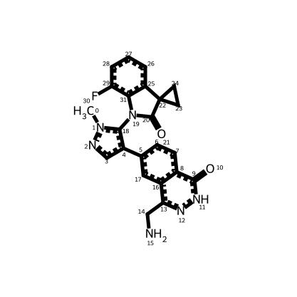 Cn1ncc(-c2ccc3c(=O)[nH]nc(CN)c3c2)c1N1C(=O)C2(CC2)c2cccc(F)c21